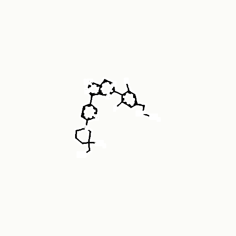 CNCc1cc(F)c(-c2ncc3[nH]nc(-c4ccc(N5CCCC(C)(CO)C5)nc4)c3n2)c(F)c1